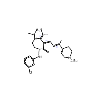 C=C1C(=C\C=C(/C)C2=CCN([C@@H](C)CC)CC2)/C(=C(\C)N)N(N(C)C)CCC1Nc1cccc(Cl)c1